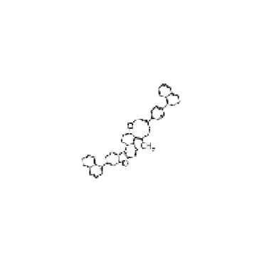 C=C1CC/C(c2ccc(C3=c4ccccc4=CCC3)cc2)=C\COC2=CCC3C(=C12)C=Cc1oc2c(c13)CCC(c1cccc3ccccc13)=C2